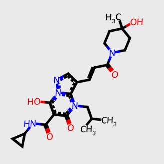 CC(C)Cn1c(=O)c(C(=O)NC2CC2)c(O)n2ncc(C=CC(=O)N3CCC(C)(O)CC3)c12